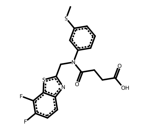 CSc1cccc(N(Cc2nc3ccc(F)c(F)c3s2)C(=O)CCC(=O)O)c1